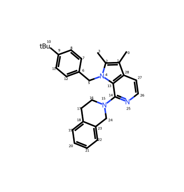 Cc1c(C)n(Cc2ccc(C(C)(C)C)cc2)c2c(N3CCc4ccccc4C3)nccc12